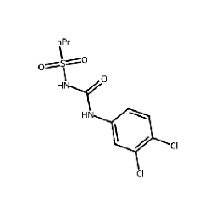 CCCS(=O)(=O)NC(=O)Nc1ccc(Cl)c(Cl)c1